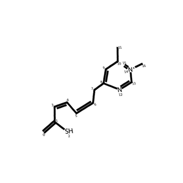 C=C(S)/C=C\C=C/CC(=C/CC)/N=C\[N+](=C)C